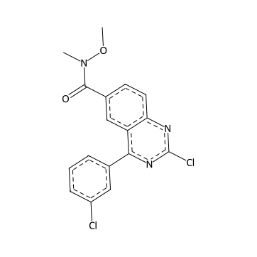 CON(C)C(=O)c1ccc2nc(Cl)nc(-c3cccc(Cl)c3)c2c1